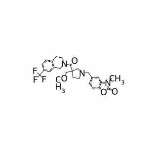 COCC1(C(=O)N2CCc3ccc(C(F)(F)F)cc3C2)CCN(Cc2ccc3oc(=O)n(C)c3c2)C1